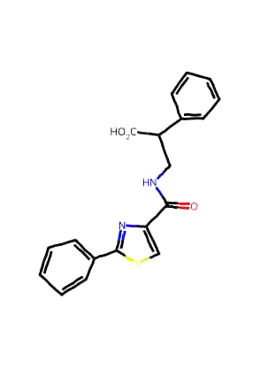 O=C(NCC(C(=O)O)c1ccccc1)c1csc(-c2ccccc2)n1